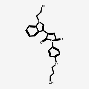 O=C1C=C(c2cn(CCO)c3ccccc23)C(=O)N1c1ccc(OCCCO)cc1